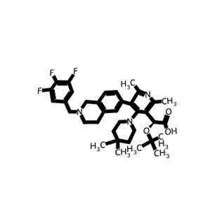 Cc1nc(C)c([C@H](OC(C)(C)C)C(=O)O)c(N2CCC(C)(C)CC2)c1-c1ccc2c(c1)CCN(Cc1cc(F)c(F)c(F)c1)C2